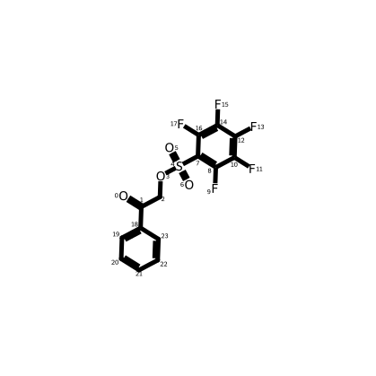 O=C(COS(=O)(=O)c1c(F)c(F)c(F)c(F)c1F)c1ccccc1